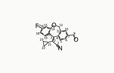 N#C/C(=C1\c2ccc(C=O)cc2COc2cc(F)ccc21)C1CC1